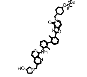 Cc1c(Nc2nccc3cc(CN4CC[C@@H](O)C4)cnc23)cccc1-c1cccc(-c2nc3c(=O)n(CC4CCC(O[Si](C)(C)C(C)(C)C)CC4)ccc3o2)c1C